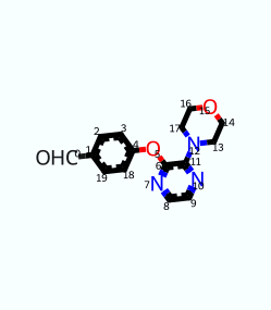 O=Cc1ccc(Oc2nccnc2N2CCOCC2)cc1